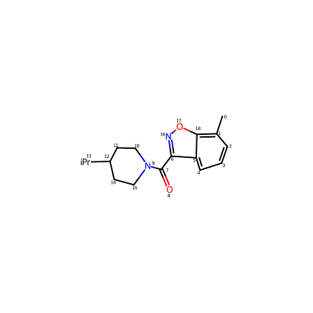 Cc1cccc2c(C(=O)N3CCC(C(C)C)CC3)noc12